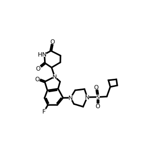 O=C1CCC(N2Cc3c(cc(F)cc3N3CCN(S(=O)(=O)CC4CCC4)CC3)C2=O)C(=O)N1